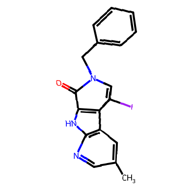 Cc1cnc2[nH]c3c(=O)n(Cc4ccccc4)cc(I)c3c2c1